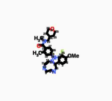 COc1ccc(C2C/N=C/C=N\C=C/N2Nc2ccc(C(=O)N(C)CC3CCOCC3)c(C)c2)cc1F